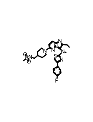 CCc1nc2ccc(N3CCC(CNS(C)(=O)=O)CC3)nn2c1N(C)c1nc(-c2ccc(F)cc2)cs1